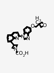 CC1(COc2ccc3c(c2)ncn3-c2ccc3cccc(C4CN(C(=O)O)C4)c3n2)COC1